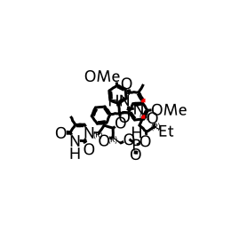 CC[C@H]1O[C@@H](n2cc(C)c(=O)[nH]c2=O)CC1O[PH](=O)OC[C@H]1O[C@@H](n2cc(C)c(=O)[nH]c2=O)CC1OC(c1ccccc1)(c1ccc(OC)cc1)c1ccc(OC)cc1